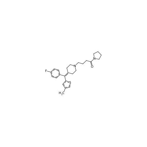 Cc1csc(C(=C2CCN(CCCC(=O)N3CCCC3)CC2)c2ccc(F)cc2)c1